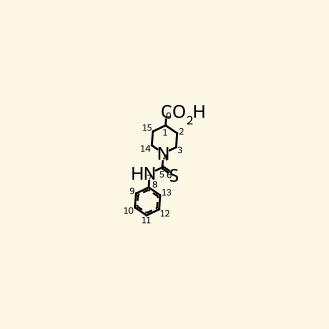 O=C(O)C1CCN(C(=S)Nc2ccccc2)CC1